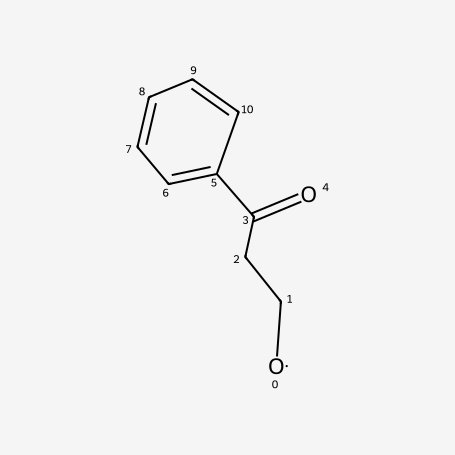 [O]CCC(=O)c1ccccc1